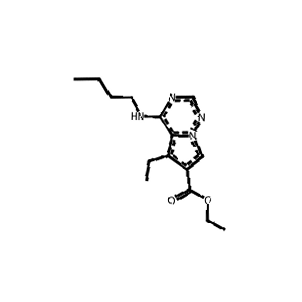 CCCCNc1ncnn2cc(C(=O)OCC)c(CC)c12